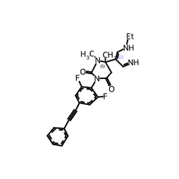 CCN/C=C(\C=N)[C@]1(C)CC(=O)N(c2c(F)cc(C#Cc3ccccc3)cc2F)C(=O)N1C